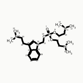 CN(C)CCOP(=O)(OCCN(C)C)OCn1cc(CCN(C)C)c2ccccc21